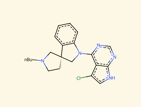 CCCCN1CC[C@@]2(C1)CN(c1ncnc3[nH]cc(Cl)c13)c1ccccc12